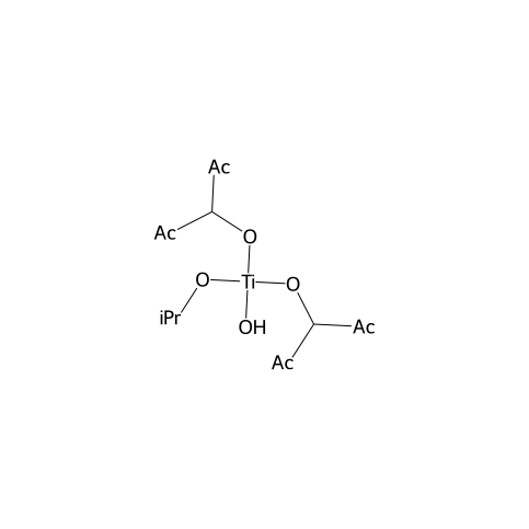 CC(=O)C([O][Ti]([OH])([O]C(C)C)[O]C(C(C)=O)C(C)=O)C(C)=O